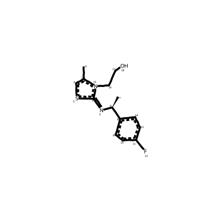 Cc1cs/c(=N/[C@@H](C)c2ccc(F)cc2)n1CCO